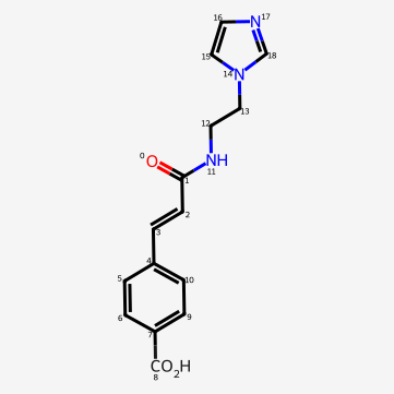 O=C(/C=C/c1ccc(C(=O)O)cc1)NCCn1ccnc1